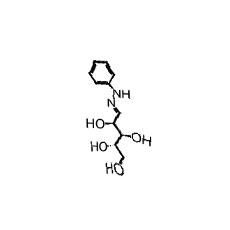 OC[C@H](O)[C@H](O)[C@@H](O)C=NNc1ccccc1